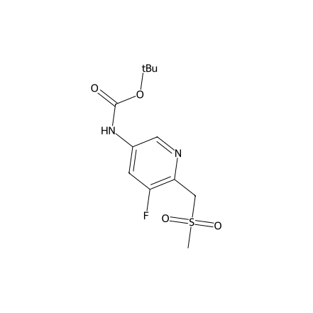 CC(C)(C)OC(=O)Nc1cnc(CS(C)(=O)=O)c(F)c1